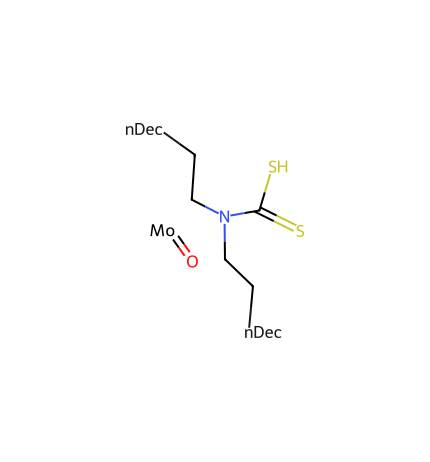 CCCCCCCCCCCCN(CCCCCCCCCCCC)C(=S)S.[O]=[Mo]